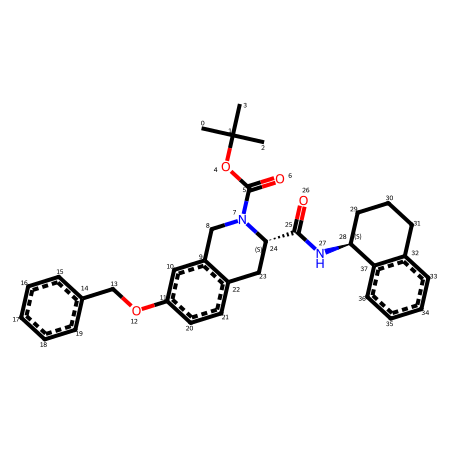 CC(C)(C)OC(=O)N1Cc2cc(OCc3ccccc3)ccc2C[C@H]1C(=O)N[C@H]1CCCc2ccccc21